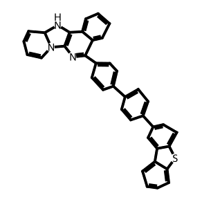 C1=CC2Nc3c(nc(-c4ccc(-c5ccc(-c6ccc7sc8ccccc8c7c6)cc5)cc4)c4ccccc34)N2C=C1